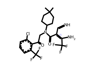 CC1(C)CCC(N(CC(=O)c2c(Cl)cccc2C(F)(F)F)C(=O)/C(C=N)=C(/N)C(F)(F)F)CC1